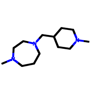 CN1CCC(CN2CCCN(C)CC2)CC1